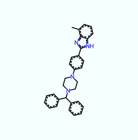 Cc1cccc2[nH]c(-c3ccc(N4CCN(C(c5ccccc5)c5ccccc5)CC4)cc3)nc12